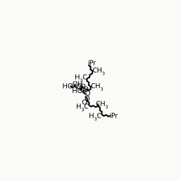 CC(C)CCCC(C)CCCC(C)CCCC(C)CC(=O)OC[C@H](COP(=O)(O)OCC(O)CO)OC(=O)CC(C)CCCC(C)CCCC(C)CCCC(C)C